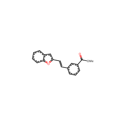 COC(=O)c1cccc(/C=C/c2cc3ccccc3o2)c1